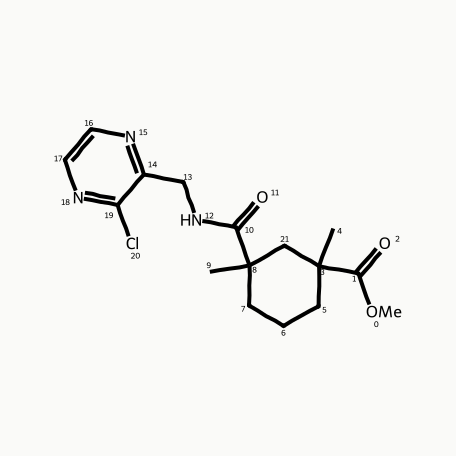 COC(=O)C1(C)CCCC(C)(C(=O)NCc2nccnc2Cl)C1